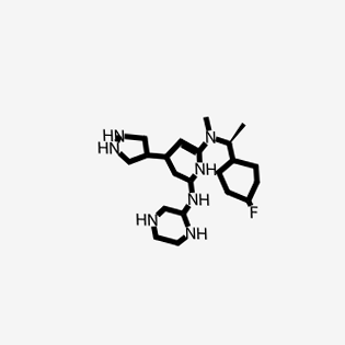 C[C@@H](C1CCC(F)CC1)N(C)C1=CC(C2CNNC2)CC(NC2CNCCN2)N1